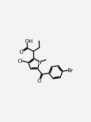 CCC(C(=O)O)c1c(Cl)cc(C(=O)c2ccc(Br)cc2)n1C